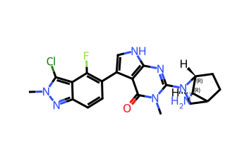 Cn1nc2ccc(-c3c[nH]c4nc(N5CC6CC[C@@H]5[C@@H]6N)n(C)c(=O)c34)c(F)c2c1Cl